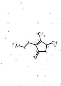 CC1=C(CCC(F)(F)F)C(=O)C[C@@H]1O